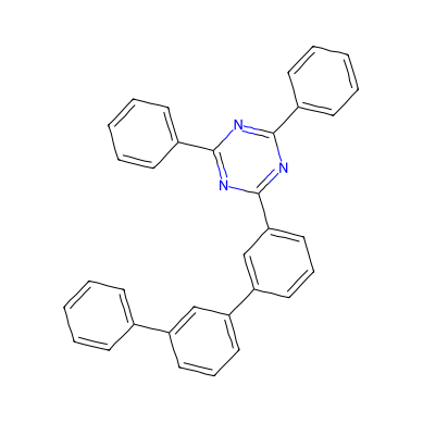 c1ccc(-c2cccc(-c3cccc(-c4nc(-c5ccccc5)nc(-c5ccccc5)n4)c3)c2)cc1